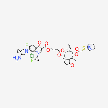 C=C[C@@]1(C)C[C@H](OC(=O)CSC2CC3CCC(C2)N3C)/C(C)=C2/C(=O)CCC2(C)[C@H](C)C1OC(=O)CCCOC(=O)c1cn(C2C[C@@H]2F)c2c(Cl)c(N3C[C@@H](N)C4(CC4)C3)c(F)cc2c1=O